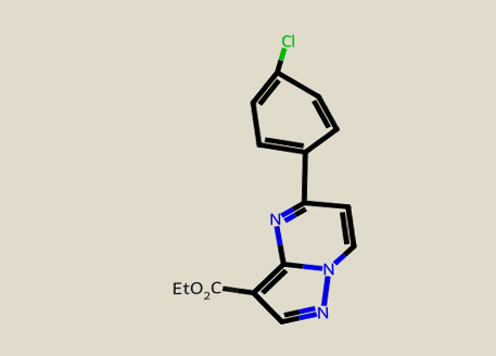 CCOC(=O)c1cnn2ccc(-c3ccc(Cl)cc3)nc12